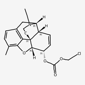 Cc1ccc2c3c1O[C@H]1[C@@H](OC(=O)OCCl)C=C[C@H]4[C@@H](C2)N(C)CC[C@@]341